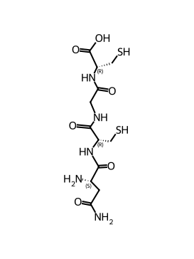 NC(=O)C[C@H](N)C(=O)N[C@@H](CS)C(=O)NCC(=O)N[C@@H](CS)C(=O)O